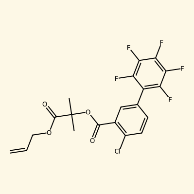 C=CCOC(=O)C(C)(C)OC(=O)c1cc(-c2c(F)c(F)c(F)c(F)c2F)ccc1Cl